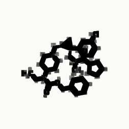 CCN(C(=O)OCc1ccccc1)C1CCN(C[C@@H]2C[C@@]2(CN(C)C(=O)C2CCCC2)c2cccc(Cl)c2)CC1